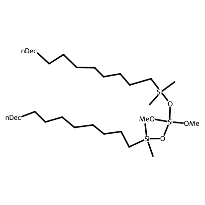 CCCCCCCCCCCCCCCCCC[Si](C)(C)O[Si](OC)(OC)O[Si](C)(C)CCCCCCCCCCCCCCCCCC